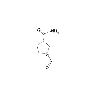 NC(=O)C1CCN(C=O)C1